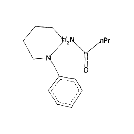 CCCC(N)=O.c1ccc(N2CCCCC2)cc1